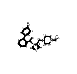 CC(c1ccccc1-c1ccc(F)cc1)n1cncc1CN1CCN(C=O)CC1